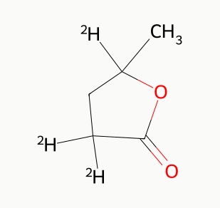 [2H]C1(C)CC([2H])([2H])C(=O)O1